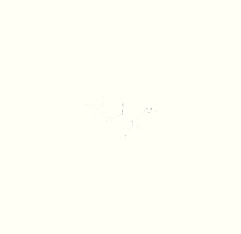 CCC(OS(C)(=O)=O)P(=O)(CC)OC